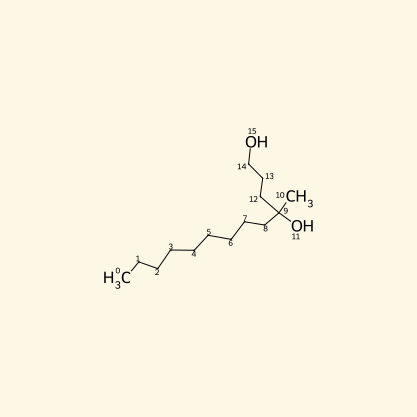 CCCCCCCCCC(C)(O)CCCO